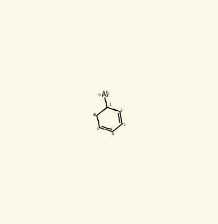 [Al][CH]1C=CC=CC1